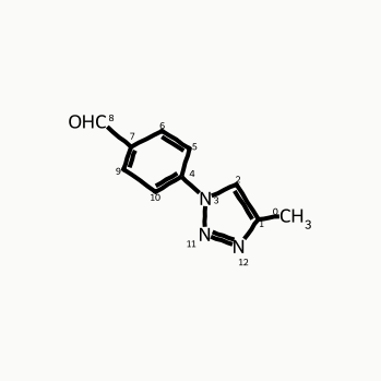 Cc1cn(-c2ccc(C=O)cc2)nn1